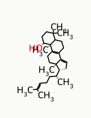 CC(C)=CCC[C@@H](C)[C@H]1CC=C2C3=C(CC[C@@]21C)[C@@]1(C)C(O)CCC(C)(C)C1CC3